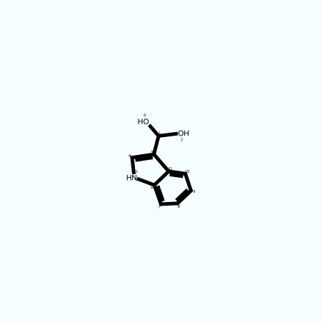 OC(O)c1c[nH]c2ccccc12